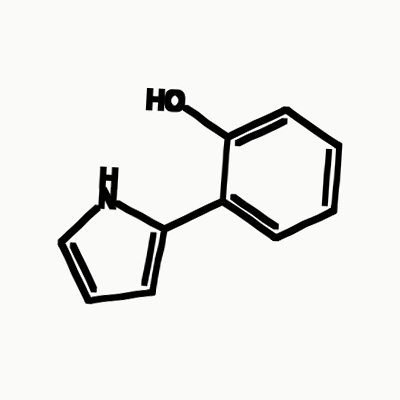 Oc1ccccc1-c1ccc[nH]1